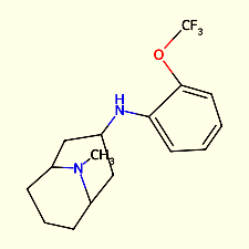 CN1C2CCCC1CC(Nc1ccccc1OC(F)(F)F)C2